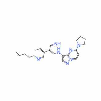 C/C=C(\C=N/CCCCC)C(/C=N)=C/Nc1cnn2ccc(N3CCCC3)nc12